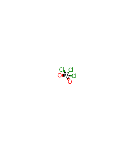 [O]=[V](=[O])([Cl])([Cl])[Cl]